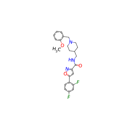 COc1ccccc1CN1CCC(CNC(=O)c2cc(-c3ccc(F)cc3F)on2)CC1